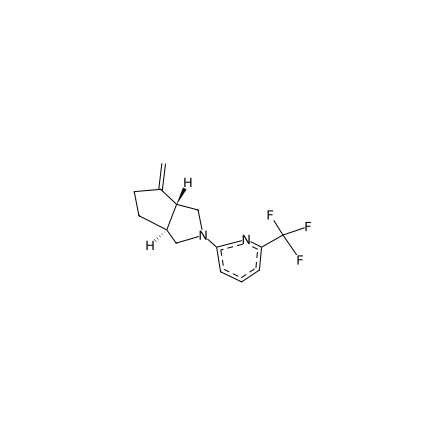 C=C1CC[C@@H]2CN(c3cccc(C(F)(F)F)n3)C[C@@H]12